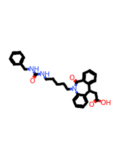 O=C(O)CC1c2ccccc2C(=O)N(CCCCCNC(=O)NCc2ccccc2)c2ccccc21